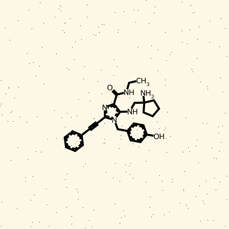 CCNC(=O)c1nc(C#Cc2ccccc2)n(Cc2ccc(O)cc2)c1NCC1(N)CCCC1